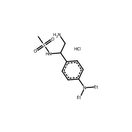 CCN(CC)c1ccc(C(CN)NS(C)(=O)=O)cc1.Cl